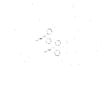 CCC=CCP(C1CCCCC1)C1CCCCC1.CCC=CCP(C1CCCCC1)C1CCCCC1.[Pd]